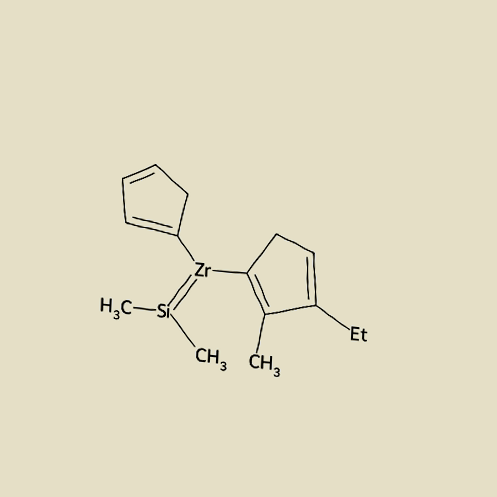 CCC1=CC[C]([Zr]([C]2=CC=CC2)=[Si](C)C)=C1C